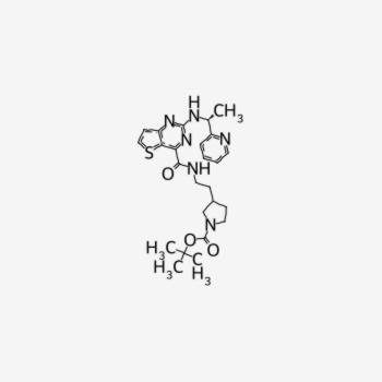 C[C@H](Nc1nc(C(=O)NCCC2CCN(C(=O)OC(C)(C)C)C2)c2sccc2n1)c1ccccn1